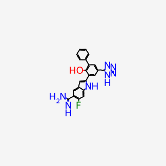 N=C(N)c1cc2cc(-c3cc(-c4nnn[nH]4)cc(-c4ccccc4)c3O)[nH]c2cc1F